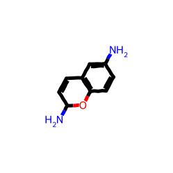 Nc1ccc2c(c1)C=CC(N)O2